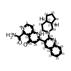 NC(=O)c1nccc2[nH]c(-c3cc4ccccc4nc3N3CC[C@H]4CCC[C@H]4C3)cc(=O)c12